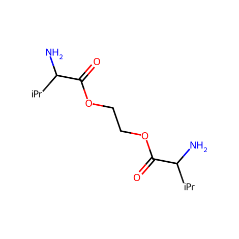 CC(C)C(N)C(=O)OCCOC(=O)C(N)C(C)C